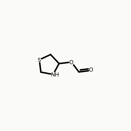 O=COC1CSCN1